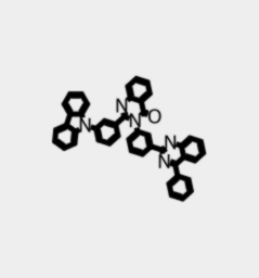 O=c1c2ccccc2nc(-c2cccc(-n3c4ccccc4c4ccccc43)c2)n1-c1cccc(-c2nc(-c3ccccc3)c3ccccc3n2)c1